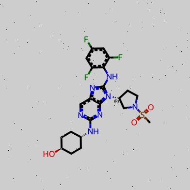 CS(=O)(=O)N1CC[C@@H](n2c(Nc3c(F)cc(F)cc3F)nc3cnc(N[C@H]4CC[C@H](O)CC4)nc32)C1